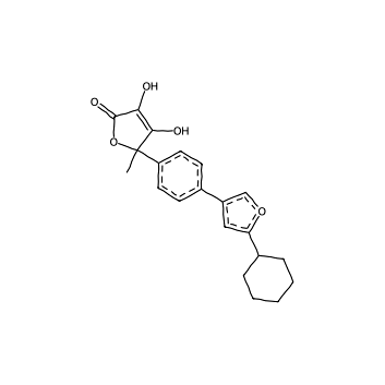 CC1(c2ccc(-c3coc(C4CCCCC4)c3)cc2)OC(=O)C(O)=C1O